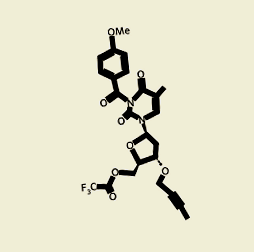 CC#CCO[C@H]1C[C@H](n2cc(C)c(=O)n(C(=O)c3ccc(OC)cc3)c2=O)O[C@@H]1COC(=O)C(F)(F)F